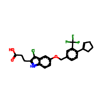 O=C(O)CCc1[nH]c2ccc(OCc3ccc(C4=CCCC4)c(C(F)(F)F)c3)cc2c1Cl